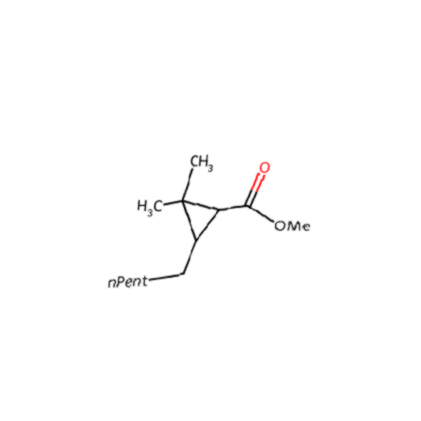 CCCCCCC1C(C(=O)OC)C1(C)C